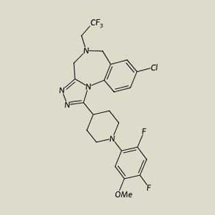 COc1cc(N2CCC(c3nnc4n3-c3ccc(Cl)cc3CN(CC(F)(F)F)C4)CC2)c(F)cc1F